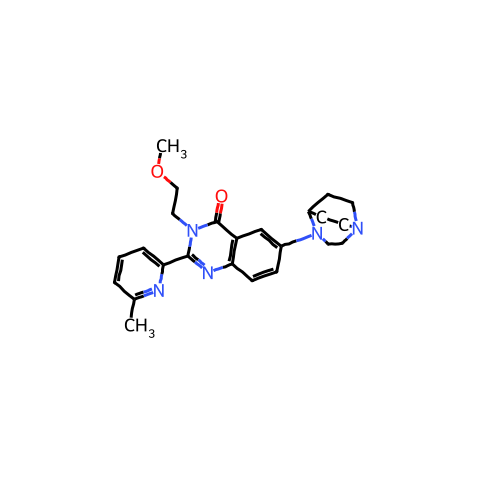 COCCn1c(-c2cccc(C)n2)nc2ccc(N3CCN4CCC3CC4)cc2c1=O